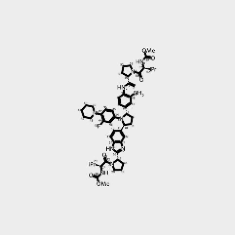 C=C(Nc1ccc([C@@H]2CC[C@@H](c3ccc4[nH]c([C@@H]5CCCN5C(=O)[C@@H](NC(=O)OC)C(C)C)nc4c3)N2c2ccc(N3CCCCC3)c(F)c2)cc1N)[C@@H]1CCCN1C(=O)[C@@H](NC(=O)OC)C(C)C